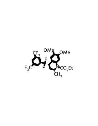 CCOC(=O)N1c2cc(OC)c(OC)cc2[C@@H](C(F)(F)c2cc(C(F)(F)F)cc(C(F)(F)F)c2)C[C@H]1C